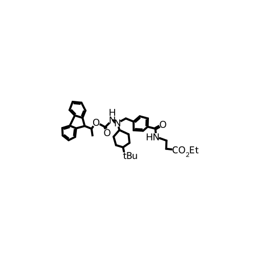 CCOC(=O)CCNC(=O)c1ccc(CN(NC(=O)OC(C)C2c3ccccc3-c3ccccc32)C2CCC(C(C)(C)C)CC2)cc1